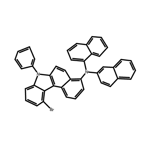 Brc1cccc2c1c1c3cccc(N(c4ccc5ccccc5c4)c4cccc5ccccc45)c3ccc1n2-c1ccccc1